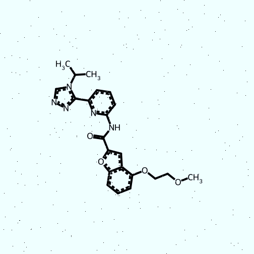 COCCOc1cccc2oc(C(=O)Nc3cccc(-c4nncn4C(C)C)n3)cc12